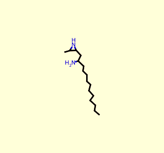 CCCCCCCCCCCC(N)CC1NC1C